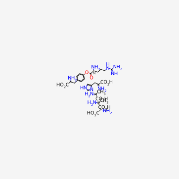 C[C@H](N)C(=O)O.C[C@H](N)C(=O)O.N=C(N)NCCC[C@H](N)C(=O)Oc1ccc(C[C@H](N)C(=O)O)cc1.NCC(=O)O.N[C@@H](Cc1c[nH]cn1)C(=O)O